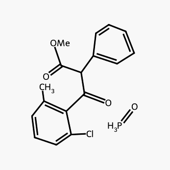 COC(=O)C(C(=O)c1c(C)cccc1Cl)c1ccccc1.O=[PH3]